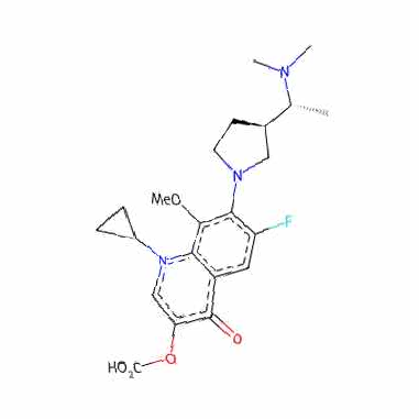 COc1c(N2CC[C@@H]([C@@H](C)N(C)C)C2)c(F)cc2c(=O)c(OC(=O)O)cn(C3CC3)c12